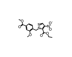 CCOC(=O)c1c([N+](=O)[O-])cnn1Cc1ccc(C(=O)OC)cc1OC